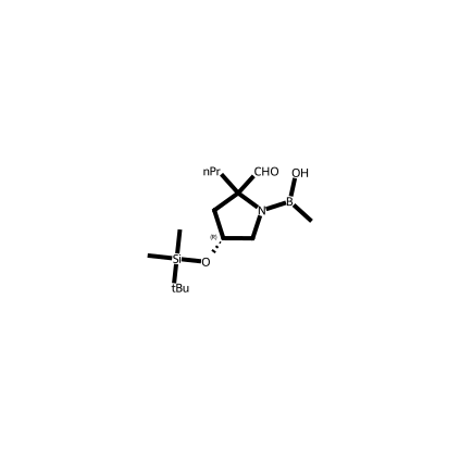 CCCC1(C=O)C[C@@H](O[Si](C)(C)C(C)(C)C)CN1B(C)O